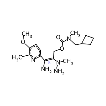 COc1ccc(/C(N)=C(\COC(=O)N(C)CC2CCC2)N(C)N)nc1C